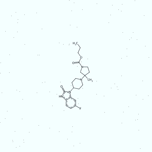 CCCOC(=O)N1CCC(C)(N2CCC(n3c(=O)[nH]c4ccc(F)cc43)CC2)C1